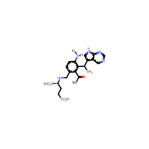 CCOC(=O)CC[C@H](NCc1ccc(N(CC)CC)c(C(C)c2c[nH]c3ncncc23)c1C(=O)C(C)(C)C)C(=O)OCC